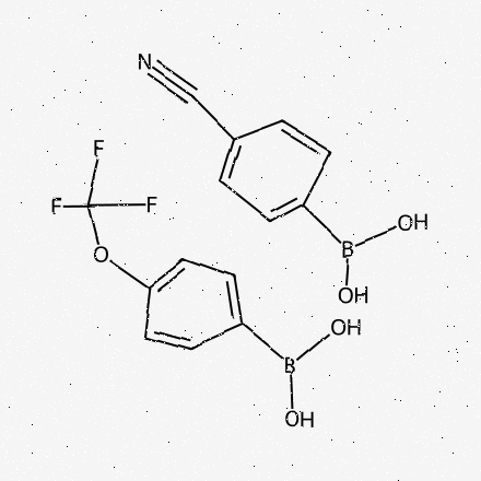 N#Cc1ccc(B(O)O)cc1.OB(O)c1ccc(OC(F)(F)F)cc1